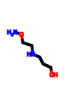 NOCCNCCCO